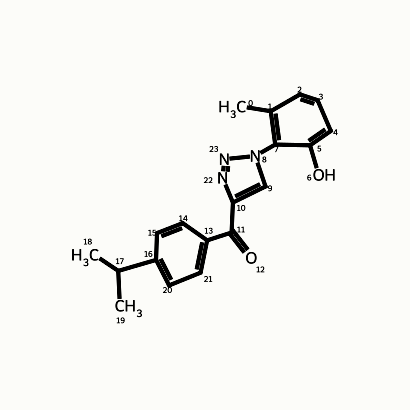 Cc1cccc(O)c1-n1cc(C(=O)c2ccc(C(C)C)cc2)nn1